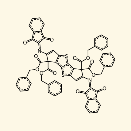 O=C(OCc1ccccc1)C1(C(=O)OCc2ccccc2)C(N=c2c(=O)c3ccccc3c2=O)=Cc2sc3c4c(sc3c21)C=C(N=c1c(=O)c2ccccc2c1=O)C4(C(=O)OCc1ccccc1)C(=O)OCc1ccccc1